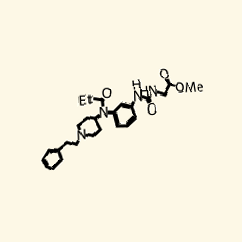 CCC(=O)N(c1cccc(NC(=O)NCC(=O)OC)c1)C1CCN(CCc2ccccc2)CC1